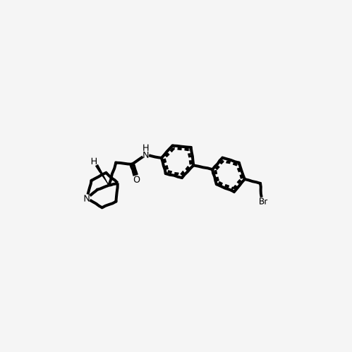 O=C(C[C@H]1CN2CCC1CC2)Nc1ccc(-c2ccc(CBr)cc2)cc1